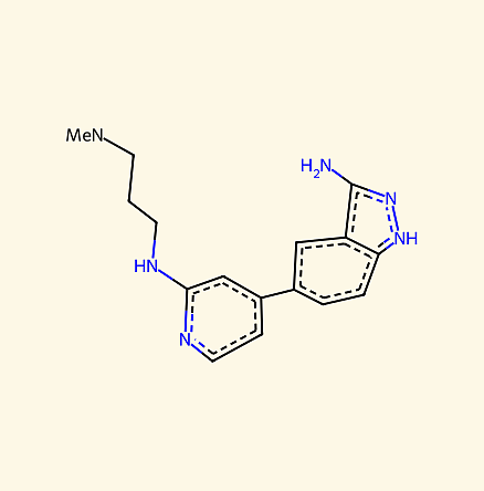 CNCCCNc1cc(-c2ccc3[nH]nc(N)c3c2)ccn1